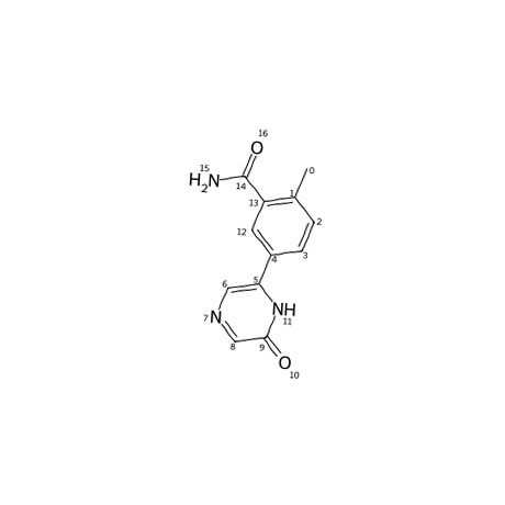 Cc1ccc(-c2cncc(=O)[nH]2)cc1C(N)=O